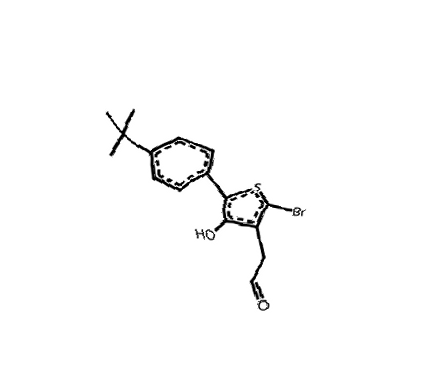 CC(C)(C)c1ccc(-c2sc(Br)c(CC=O)c2O)cc1